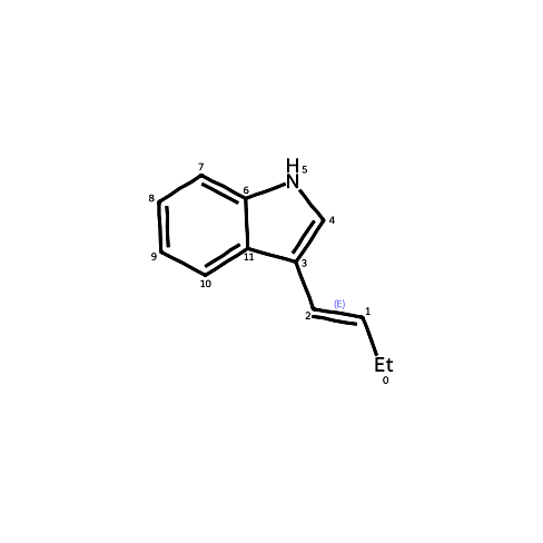 CC/C=C/c1c[nH]c2ccccc12